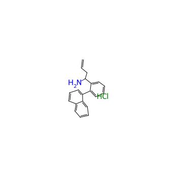 C=CCC(N)c1ccccc1-c1cccc2ccccc12.Cl